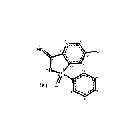 Cl.N=C1N[SH](=O)(c2ccccc2)c2cc(Cl)cnc21